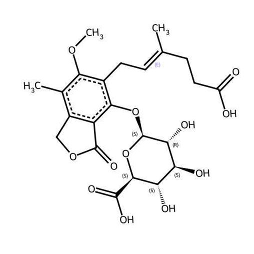 COc1c(C)c2c(c(O[C@@H]3O[C@H](C(=O)O)[C@@H](O)[C@H](O)[C@H]3O)c1C/C=C(\C)CCC(=O)O)C(=O)OC2